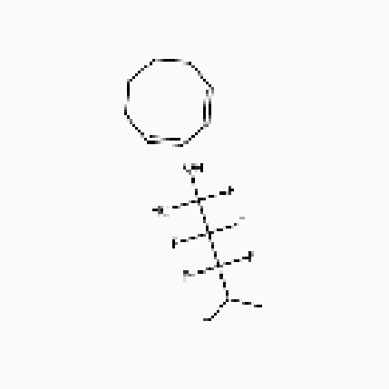 C1=CCCCCC=C1.CC(F)C(F)(F)C(F)(F)C(O)(O)F